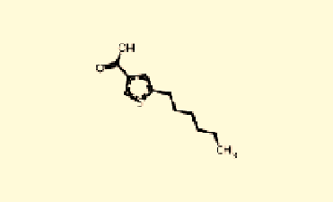 CCCCCCc1cc(C(=O)O)cs1